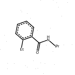 CCc1ccccc1C(=O)NC(C)C